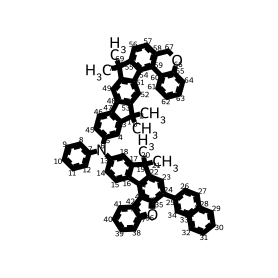 CC1(C)c2cc(N(c3ccccc3)c3ccc4c(c3)C(C)(C)c3cc(-c5ccc6ccccc6c5)c5oc6ccccc6c5c3-4)ccc2-c2cc3c(cc21)-c1c(ccc2c1-c1ccccc1OC2)C3(C)C